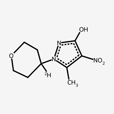 [2H]C1(n2nc(O)c([N+](=O)[O-])c2C)CCOCC1